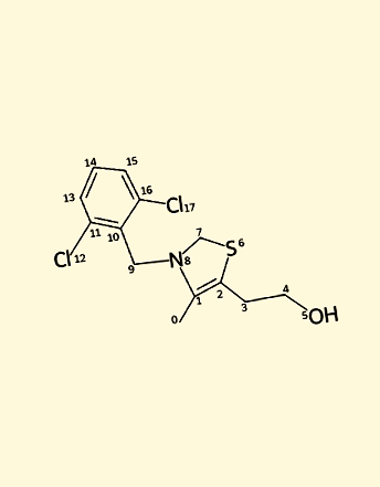 CC1=C(CCO)SCN1Cc1c(Cl)cccc1Cl